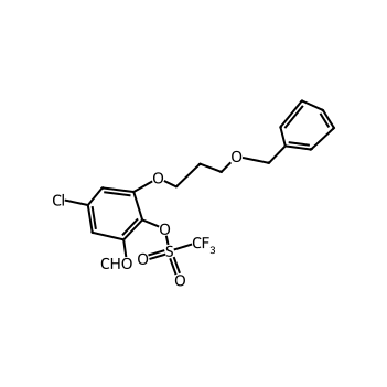 O=Cc1cc(Cl)cc(OCCCOCc2ccccc2)c1OS(=O)(=O)C(F)(F)F